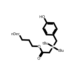 CCCCCCCCCCCCCOC(=O)CS(Cc1ccc(O)cc1)(C(C)(C)C)C(C)(C)C